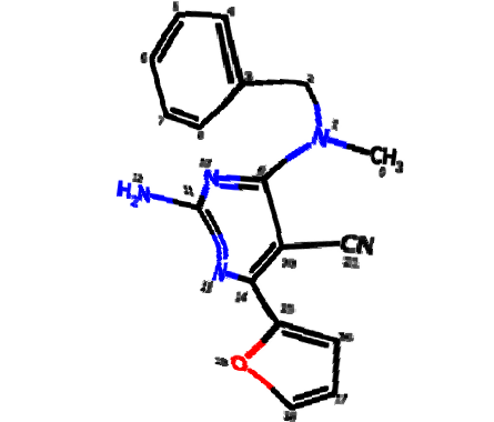 CN(Cc1ccccc1)c1nc(N)nc(-c2ccco2)c1C#N